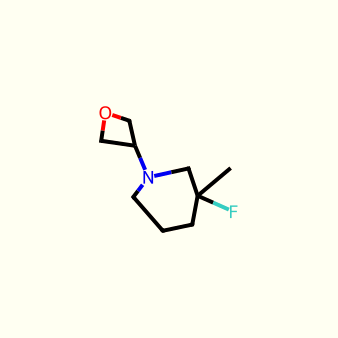 CC1(F)CCCN(C2COC2)C1